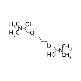 CN(C)C(O)COCCCCOCC(O)N(C)C